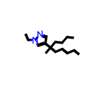 CCCCCC(C)(CCCC)c1cnn(CC)c1